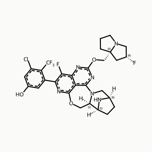 Oc1cc(Cl)c(C(F)(F)F)c(-c2nc3c4c(nc(OC[C@]56CCCN5C[C@H](F)C6)nc4c2F)N2C[C@H]4CC[C@H](N4)[C@H]2CO3)c1